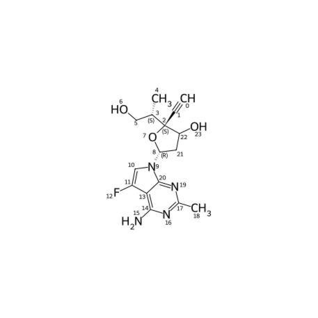 C#C[C@]1([C@@H](C)CO)O[C@@H](n2cc(F)c3c(N)nc(C)nc32)CC1O